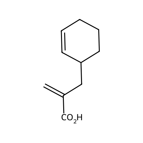 C=C(CC1C=CCCC1)C(=O)O